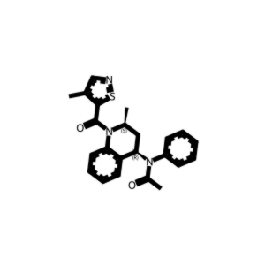 CC(=O)N(c1ccccc1)[C@@H]1C[C@H](C)N(C(=O)c2sncc2C)c2ccccc21